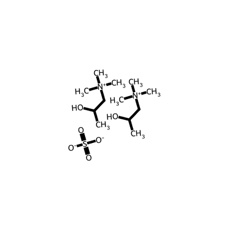 CC(O)C[N+](C)(C)C.CC(O)C[N+](C)(C)C.O=S(=O)([O-])[O-]